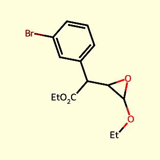 CCOC(=O)C(c1cccc(Br)c1)C1OC1OCC